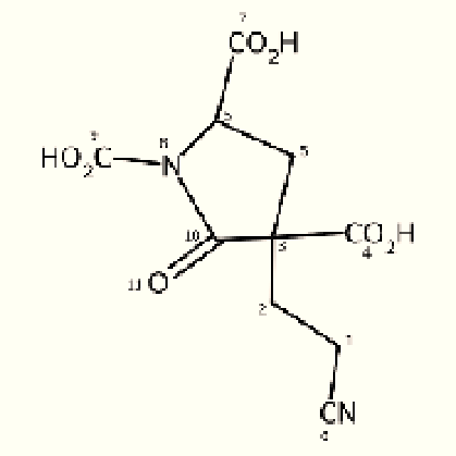 N#CCCC1(C(=O)O)CC(C(=O)O)N(C(=O)O)C1=O